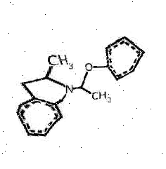 CC1Cc2ccccc2N1C(C)Oc1ccccc1